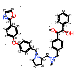 CN(Cc1ccc(C(=O)C(O)c2ccccc2)cc1)C[C@H]1CCCN1Cc1ccc(Oc2ccc(-c3ncco3)cc2)cc1